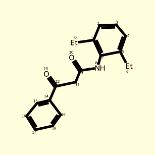 CCc1cccc(CC)c1NC(=O)CC(=O)c1ccccc1